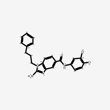 Nc1nc2cc(C(=O)Nc3ccc(Cl)c(Cl)c3)ccc2n1CCCc1ccccc1